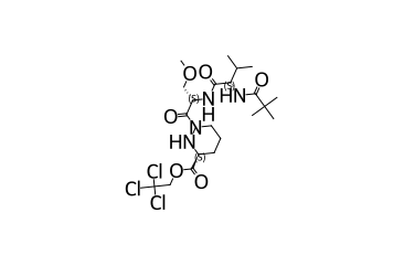 COC[C@H](NC(=O)[C@@H](NC(=O)C(C)(C)C)C(C)C)C(=O)N1CCC[C@@H](C(=O)OCC(Cl)(Cl)Cl)N1